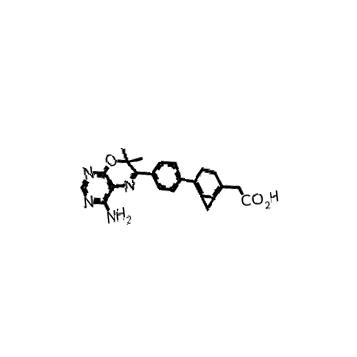 CC1(C)Oc2ncnc(N)c2N=C1c1ccc(C2=C3CC3=C(CC(=O)O)CC2)cc1